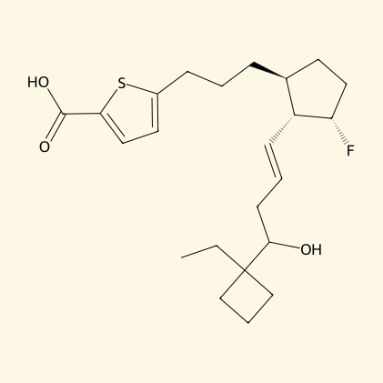 CCC1(C(O)C/C=C/[C@@H]2[C@@H](CCCc3ccc(C(=O)O)s3)CC[C@@H]2F)CCC1